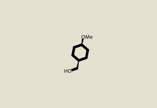 CO[C@H]1CC[C@@H](CO)CC1